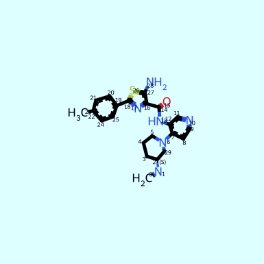 C=N[C@H]1CCCN(c2ccncc2NC(=O)c2nc(-c3ccc(C)cc3)sc2N)C1